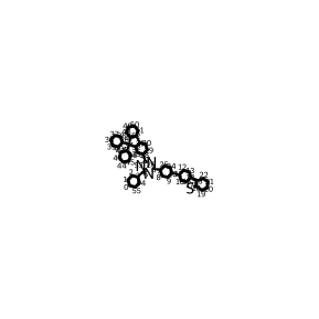 c1ccc(-c2nc(-c3ccc(-c4ccc5c(c4)sc4ccccc45)cc3)nc(-c3ccc4c(c3)C(c3ccccc3)(c3ccccc3)c3ccccc3-4)n2)cc1